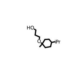 CC(C)C1CCC(C)(OCCCO)CC1